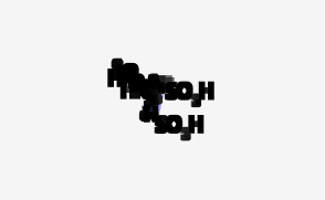 CC1(C)C(/C=C/C2=C(SCCC(=O)NCCOCCNC(=O)OCC3c4ccccc4-c4ccccc43)C(=C/C=C3/N(CCCCS(=O)(=O)O)c4ccccc4C3(C)C)/CCC2)=[N+](CCCCS(=O)(=O)O)c2ccccc21